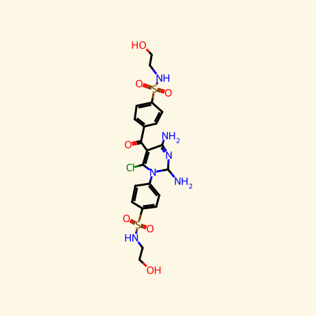 NC1=NC(N)N(c2ccc(S(=O)(=O)NCCO)cc2)C(Cl)=C1C(=O)c1ccc(S(=O)(=O)NCCO)cc1